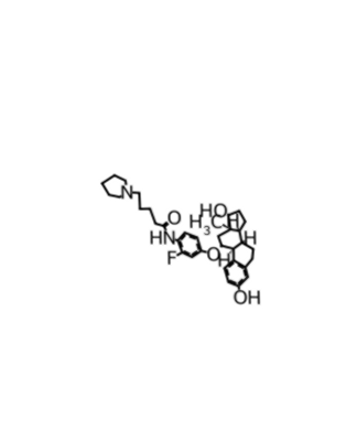 C[C@]12C[C@H](Oc3ccc(NC(=O)CCCCN4CCCCC4)c(F)c3)[C@@H]3c4ccc(O)cc4CC[C@H]3[C@@H]1CC[C@@H]2O